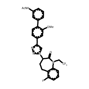 COc1cc(-c2cn(C3CCc4c(F)cccc4N(CC(F)(F)F)C3=O)nn2)ccc1-c1cccc(NC(C)=O)c1